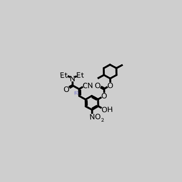 CCN(CC)C(=O)/C(C#N)=C/c1cc(OC(=O)OC2CC(C)CCC2C)c(O)c([N+](=O)[O-])c1